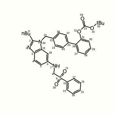 CCCCc1nc2ccc(NCS(=O)(=O)c3ccccc3)cc2n1Cc1ccc(-c2ccccc2OC(=O)OC(C)(C)C)cc1